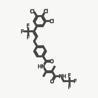 CC(NC(=O)c1ccc(CC=C(c2cc(Cl)c(Cl)c(Cl)c2)C(F)(F)F)cc1)=C(C)C(=O)NCC(F)(F)F